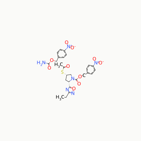 CCc1noc([C@@H]2C[C@H](SC(C)=O)CN2C(=O)OCc2ccc([N+](=O)[O-])cc2)n1.NC(=O)OCc1ccc([N+](=O)[O-])cc1